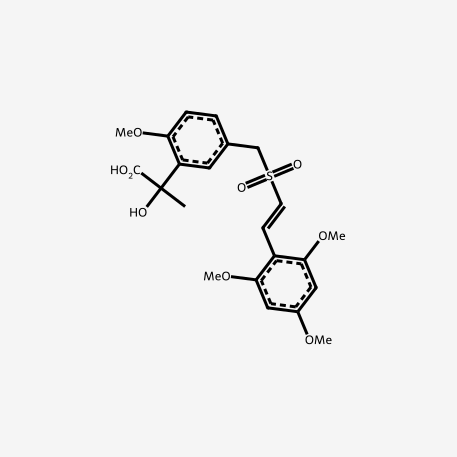 COc1cc(OC)c(C=CS(=O)(=O)Cc2ccc(OC)c(C(C)(O)C(=O)O)c2)c(OC)c1